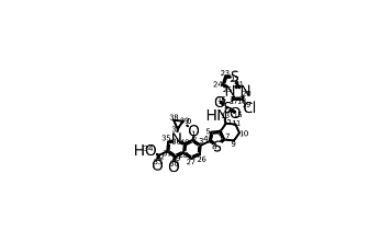 COc1c(-c2cc3c(s2)CCCC3NS(=O)(=O)c2c(Cl)nc3sccn23)ccc2c(=O)c(C(=O)O)cn(C3CC3)c12